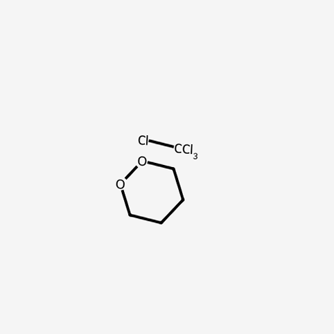 C1CCOOC1.ClC(Cl)(Cl)Cl